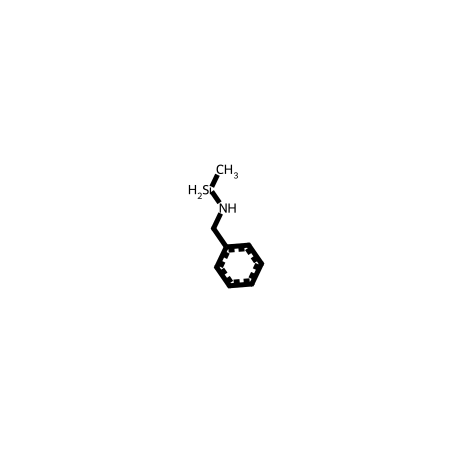 C[SiH2]NCc1ccccc1